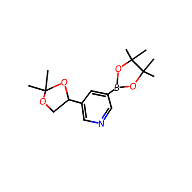 CC1(C)OCC(c2cncc(B3OC(C)(C)C(C)(C)O3)c2)O1